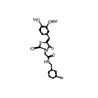 COc1cc(/C=C2\SC(=O)N(CC(=O)NCc3cccc(Br)c3)C2=O)ccc1O